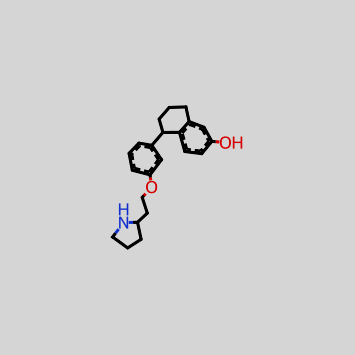 Oc1ccc2c(c1)CCCC2c1cccc(OCCC2CCCN2)c1